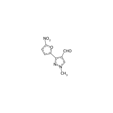 Cn1cc(C=O)c(-c2ccc([N+](=O)[O-])o2)n1